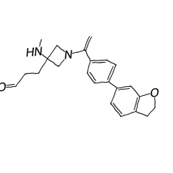 C=C(c1ccc(-c2ccc3c(c2)OCC3)cc1)N1CC(CCC=O)(NC)C1